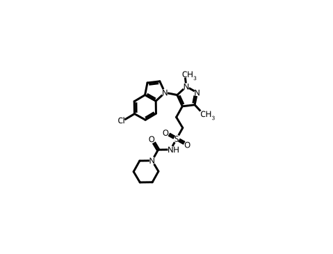 Cc1nn(C)c(-n2ccc3cc(Cl)ccc32)c1CCS(=O)(=O)NC(=O)N1CCCCC1